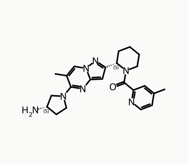 Cc1ccnc(C(=O)N2CCCC[C@H]2c2cc3nc(N4CC[C@H](N)C4)c(C)cn3n2)c1